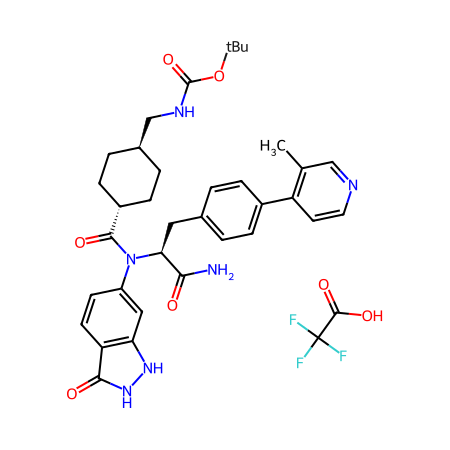 Cc1cnccc1-c1ccc(C[C@@H](C(N)=O)N(c2ccc3c(=O)[nH][nH]c3c2)C(=O)[C@H]2CC[C@H](CNC(=O)OC(C)(C)C)CC2)cc1.O=C(O)C(F)(F)F